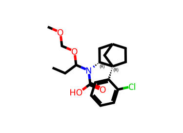 CCC(OCOC)N(C(=O)O)[C@@H]1CC2CC[C@]1(c1ccccc1Cl)C2